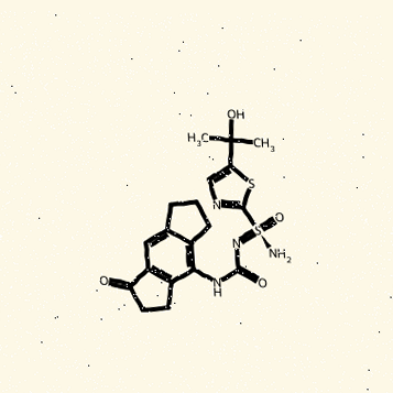 CC(C)(O)c1cnc([S@](N)(=O)=NC(=O)Nc2c3c(cc4c2CCC4=O)CCC3)s1